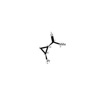 CNC(=O)[C@@H]1C[C@@H]1C(C)C